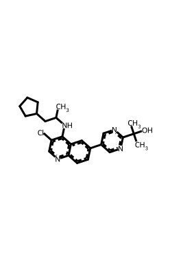 CC(CC1CCCC1)Nc1c(Cl)cnc2ccc(-c3cnc(C(C)(C)O)nc3)cc12